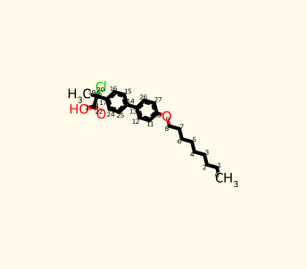 CCCCCCCCCOc1ccc(-c2ccc(C(C)(Cl)C(=O)O)cc2)cc1